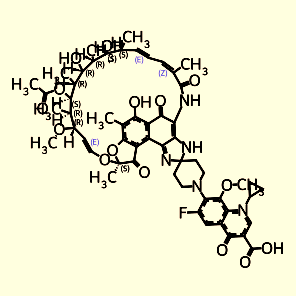 COc1c(N2CCC3(CC2)N=C2C(=C4NC(=O)/C(C)=C\C=C\[C@H](C)[C@H](O)[C@@H](C)[C@@H](O)[C@@H](C)[C@H](OC(C)=O)[C@H](C)[C@@H](OC)/C=C/O[C@@]5(C)Oc6c(C)c(O)c(c2c6C5=O)C4=O)N3)c(F)cc2c(=O)c(C(=O)O)cn(C3CC3)c12